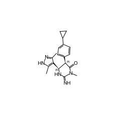 Cc1n[nH]c(C)c1[C@@H]1NC(=N)N(C)C(=O)[C@@H]1c1ccc(C2CC2)cc1